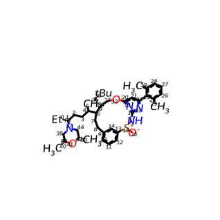 CC[C@@H](CCC(C)C1CCc2cccc(c2)[S+]([O-])Nc2nc(cc(-c3c(C)cccc3C)n2)OC[C@H]1CC(C)(C)C)N1C[C@@H](C)O[C@@H](C)C1